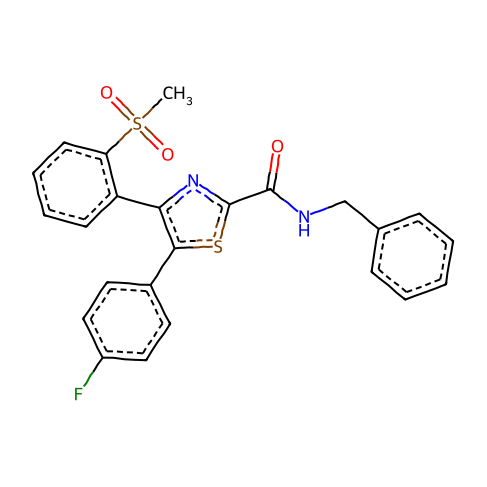 CS(=O)(=O)c1ccccc1-c1nc(C(=O)NCc2ccccc2)sc1-c1ccc(F)cc1